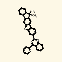 CC1(C)c2ccccc2-c2cc3oc4cc(-c5nc(-c6ccccn6)c6ccccc6n5)ccc4c3cc21